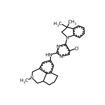 CN1Cc2cc(Nc3ncc(Cl)c(N4CC(C)(C)c5ccccc54)n3)cc3c2C(CCC3)C1